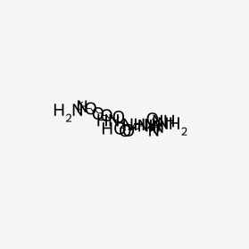 CC(C)(C)N(CN)CCOCCOCCOCCNC(=O)CCC(NC(=O)c1ccc(NCc2cnc3nc(N)[nH]c(=O)c3n2)cc1)C(=O)O